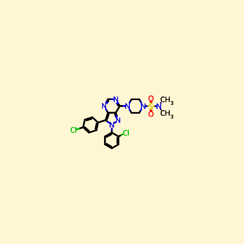 CN(C)S(=O)(=O)N1CCN(c2ncnc3c(-c4ccc(Cl)cc4)n(-c4ccccc4Cl)nc23)CC1